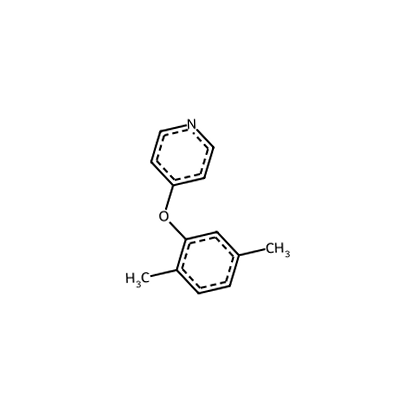 Cc1ccc(C)c(Oc2ccncc2)c1